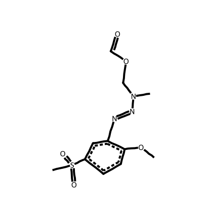 COc1ccc(S(C)(=O)=O)cc1/N=N/N(C)COC=O